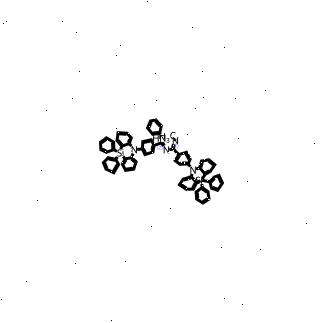 C/N=C(\N=C(/Nc1ccccc1)c1ccc(N2c3ccccc3[Si](c3ccccc3)(c3ccccc3)c3ccccc32)cc1)c1ccc(N2c3ccccc3[Si](c3ccccc3)(c3ccccc3)c3ccccc32)cc1